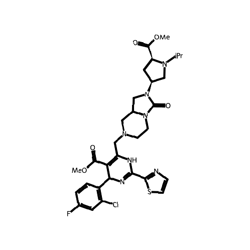 COC(=O)C1=C(CN2CCN3C(=O)N([C@H]4C[C@@H](C(=O)OC)N(C(C)C)C4)CC3C2)NC(c2nccs2)=NC1c1ccc(F)cc1Cl